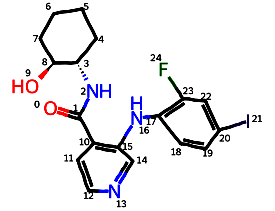 O=C(N[C@H]1CCCC[C@@H]1O)c1ccncc1Nc1ccc(I)cc1F